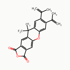 C=C(C)c1cc2c(cc1C(=C)C)C(C(F)(F)F)(C(F)(F)F)c1cc3c(cc1O2)C(=O)OC3=O